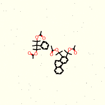 CC(=O)OC(C)(C)C(C)(c1ccccc1)C(C)(C)OC(C)=O.CC(=O)OC(C)(C)c1ccc2c(ccc3ccccc32)c1C(C)(C)OC(C)=O